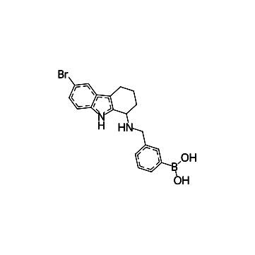 OB(O)c1cccc(CNC2CCCc3c2[nH]c2ccc(Br)cc32)c1